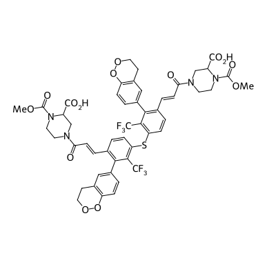 COC(=O)N1CCN(C(=O)/C=C/c2ccc(Sc3ccc(/C=C/C(=O)N4CCN(C(=O)OC)C(C(=O)O)C4)c(-c4ccc5c(c4)CCOO5)c3C(F)(F)F)c(C(F)(F)F)c2-c2ccc3c(c2)CCOO3)CC1C(=O)O